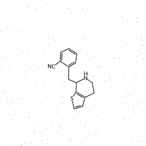 N#Cc1ccccc1CC1NCCc2ccsc21